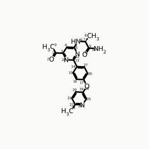 CC(=O)c1cc(N[C@@H](C)C(N)=O)nc(-c2ccc(Oc3ccc(C)nc3)cc2)n1